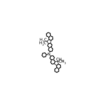 CC1(C)c2cc3cc(N(c4ccccc4)c4ccc5c6c(ccc5c4)-c4c(ccc5ccccc45)C6(C)C)ccc3cc2-c2ccc3ccccc3c21